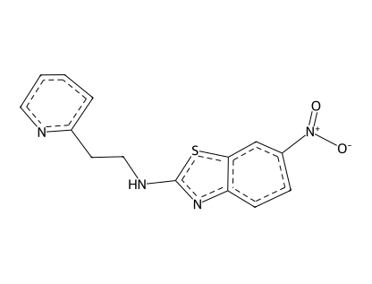 O=[N+]([O-])c1ccc2nc(NCCc3ccccn3)sc2c1